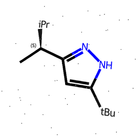 CC(C)[C@H](C)c1cc(C(C)(C)C)[nH]n1